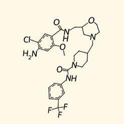 COc1cc(N)c(Cl)cc1C(=O)NCC1CN(CC2CCN(C(=O)Nc3cccc(C(F)(F)F)c3)CC2)CCO1